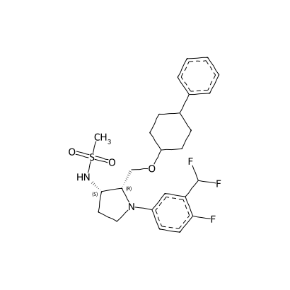 CS(=O)(=O)N[C@H]1CCN(c2ccc(F)c(C(F)F)c2)[C@H]1COC1CCC(c2ccccc2)CC1